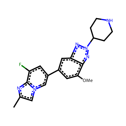 COc1cc(-c2cc(F)c3nc(C)cn3c2)cc2nn(C3CCNCC3)nc12